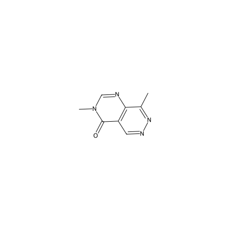 Cc1nncc2c(=O)n(C)cnc12